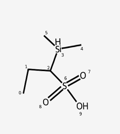 CCC([SiH](C)C)S(=O)(=O)O